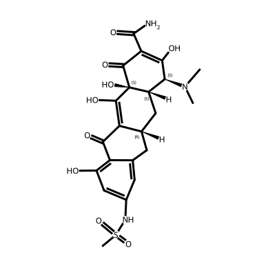 CN(C)[C@@H]1C(O)=C(C(N)=O)C(=O)[C@@]2(O)C(O)=C3C(=O)c4c(O)cc(NS(C)(=O)=O)cc4C[C@H]3C[C@@H]12